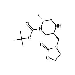 C[C@@H]1CN[C@@H](CN2CCOC2=O)CN1C(=O)OC(C)(C)C